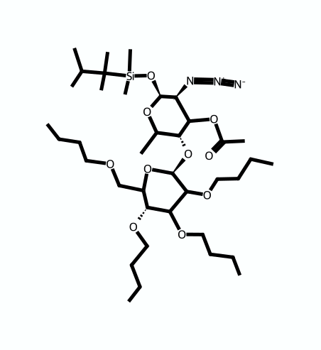 CCCCOCC1O[C@@H](O[C@@H]2C(C)O[C@@H](O[Si](C)(C)C(C)(C)C(C)C)[C@@H](N=[N+]=[N-])C2OC(C)=O)C(OCCCC)C(OCCCC)[C@@H]1OCCCC